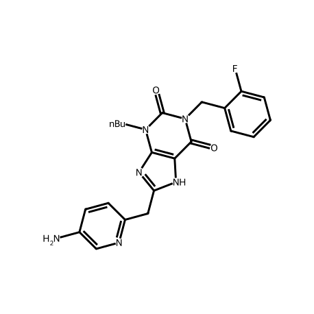 CCCCn1c(=O)n(Cc2ccccc2F)c(=O)c2[nH]c(Cc3ccc(N)cn3)nc21